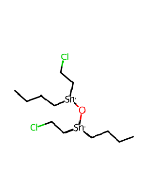 CCC[CH2][Sn]([CH2]CCl)[O][Sn]([CH2]CCl)[CH2]CCC